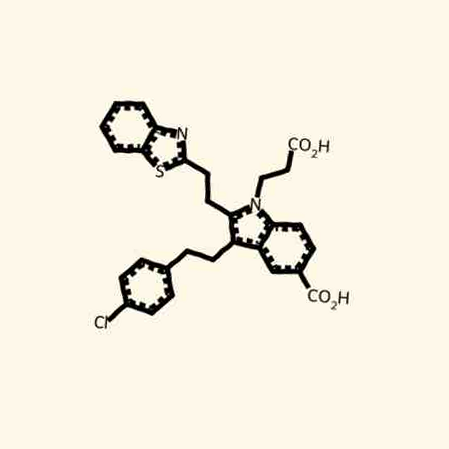 O=C(O)CCn1c(CCc2nc3ccccc3s2)c(CCc2ccc(Cl)cc2)c2cc(C(=O)O)ccc21